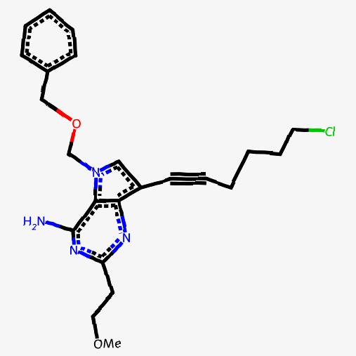 COCCc1nc(N)c2c(n1)c(C#CCCCCCl)cn2COCc1ccccc1